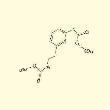 CC(C)(C)OC(=O)NCCc1cccc(OC(=O)OC(C)(C)C)n1